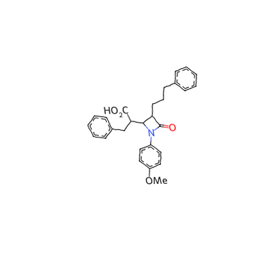 COc1ccc(N2C(=O)C(CCCc3ccccc3)C2C(Cc2ccccc2)C(=O)O)cc1